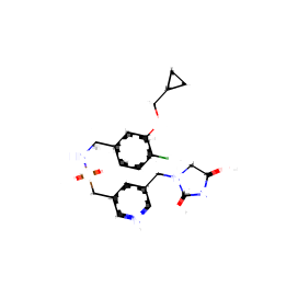 C[C@@H](NS(=O)(=O)Cc1cncc(CN2CC(=O)NC2=O)c1)c1ccc(F)c(OCC2CC2)c1